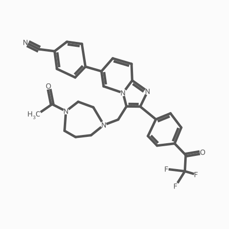 CC(=O)N1CCCN(Cc2c(-c3ccc(C(=O)C(F)(F)F)cc3)nc3ccc(-c4ccc(C#N)cc4)cn23)CC1